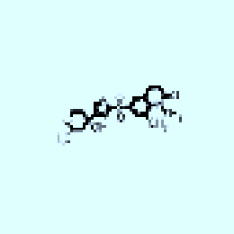 Cc1cc(S(=O)(=O)c2cc([C@@]3(O)CCO[C@@H](C)C3)cs2)cc2c1N(C)C(=O)CC2